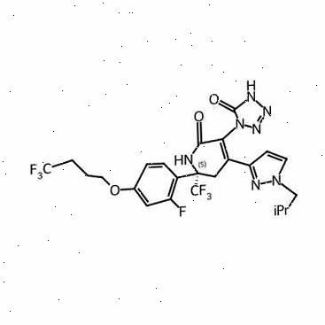 CC(C)Cn1ccc(C2=C(n3nn[nH]c3=O)C(=O)N[C@@](c3ccc(OCCCC(F)(F)F)cc3F)(C(F)(F)F)C2)n1